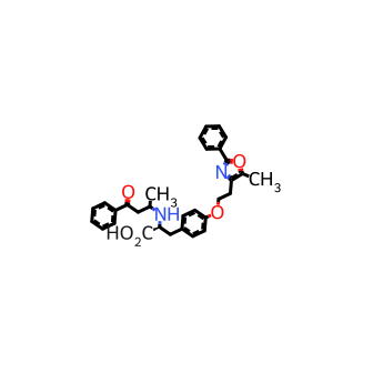 Cc1oc(-c2ccccc2)nc1CCOc1ccc(C[C@H](NC(C)CC(=O)c2ccccc2)C(=O)O)cc1